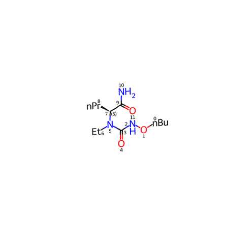 CCCCONC(=O)N(CC)[C@@H](CCC)C(N)=O